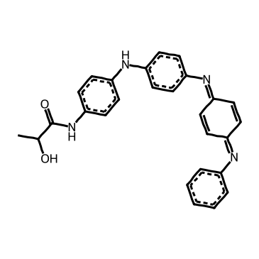 CC(O)C(=O)Nc1ccc(Nc2ccc(N=C3C=CC(=Nc4ccccc4)C=C3)cc2)cc1